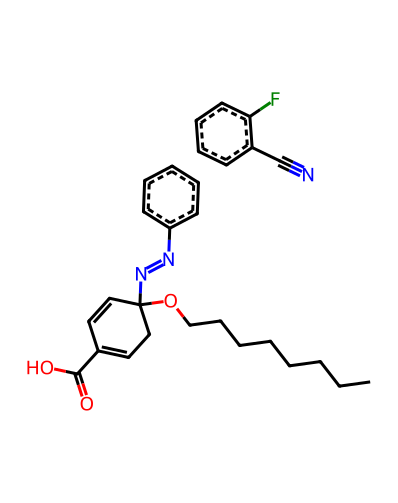 CCCCCCCCOC1(N=Nc2ccccc2)C=CC(C(=O)O)=CC1.N#Cc1ccccc1F